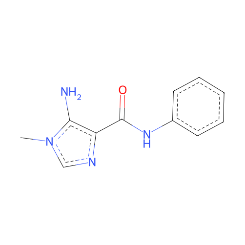 Cn1cnc(C(=O)Nc2ccccc2)c1N